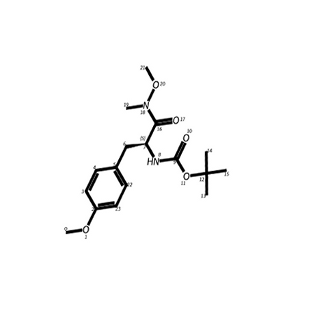 COc1ccc(C[C@H](NC(=O)OC(C)(C)C)C(=O)N(C)OC)cc1